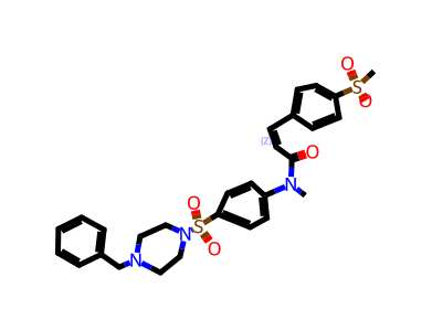 CN(C(=O)/C=C\c1ccc(S(C)(=O)=O)cc1)c1ccc(S(=O)(=O)N2CCN(Cc3ccccc3)CC2)cc1